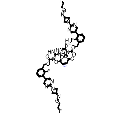 N=C(N)N(OC(=O)/C=C\C(=O)ON(C(=N)N)C(=O)OCc1cccc(-c2cnc(N3CC(=NOCCF)C3)nc2)c1F)C(=O)OCc1cccc(-c2cnc(N3CC(=NOCCF)C3)nc2)c1F